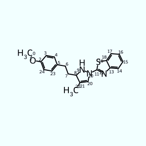 COc1ccc(CCC2NN(c3nc4ccccc4s3)C=C2C)cc1